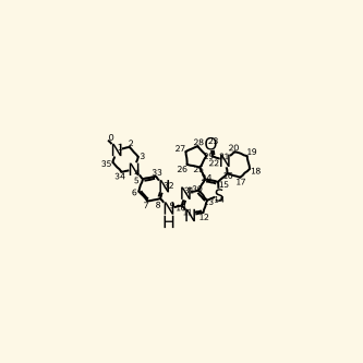 CN1CCN(c2ccc(Nc3ncc4sc(C5CCCCN5C=O)c(C5CCCC5)c4n3)nc2)CC1